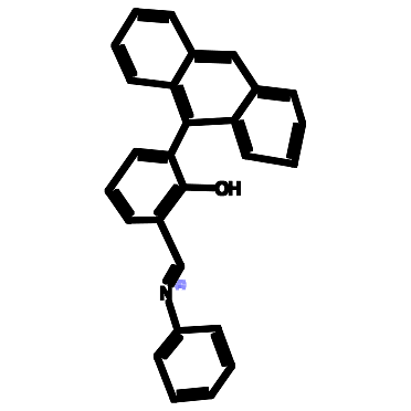 Oc1c(/C=N/c2ccccc2)cccc1-c1c2ccccc2cc2ccccc12